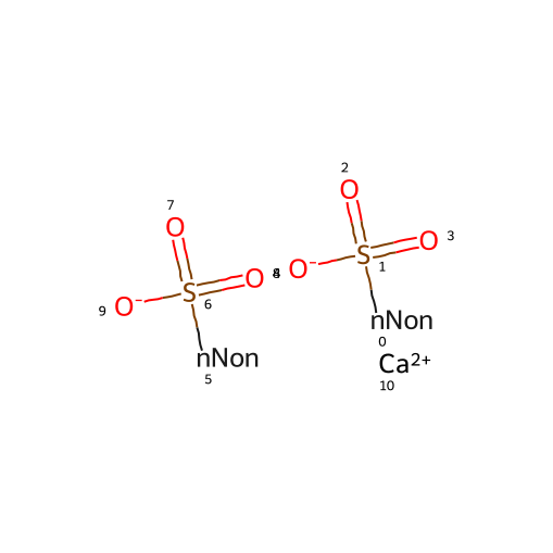 CCCCCCCCCS(=O)(=O)[O-].CCCCCCCCCS(=O)(=O)[O-].[Ca+2]